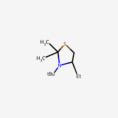 CCC1CSC(C)(C)N1C(C)(C)C